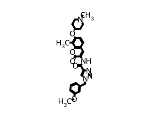 COc1cccc(Cn2cc(C(=O)Nc3cc4ccc(OC5CCN(C)CC5)c(C)c4oc3=O)nn2)c1